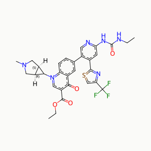 CCNC(=O)Nc1cc(-c2nc(C(F)(F)F)cs2)c(-c2ccc3c(c2)c(=O)c(C(=O)OCC)cn3C2[C@H]3CN(C)C[C@@H]23)cn1